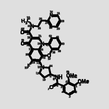 COc1cccc(C(=O)NC2CCN(c3c(F)cc4c(=O)c(C(=O)N(C)CCc5ccccn5)cn5c4c3Oc3ccccc3-5)C2)c1OC